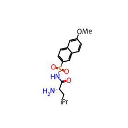 COc1ccc2cc(S(=O)(=O)NC(=O)[C@@H](N)CC(C)C)ccc2c1